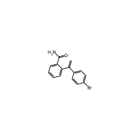 C=C(c1ccc(Br)cc1)c1ccccc1C(N)=O